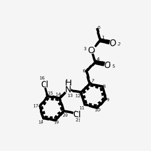 CC(=O)OC(=O)Cc1ccccc1Nc1c(Cl)cccc1Cl